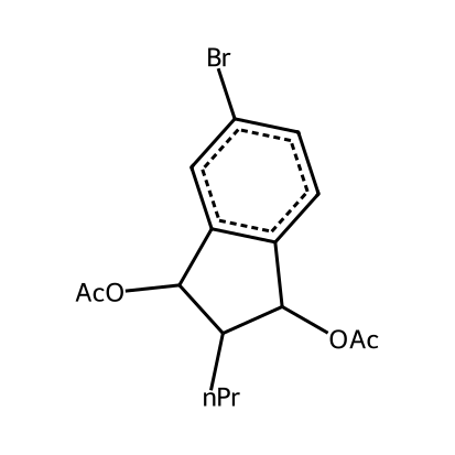 CCCC1C(OC(C)=O)c2ccc(Br)cc2C1OC(C)=O